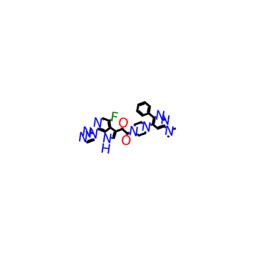 CN(C)c1cc(N2CCN(C(=O)C(=O)c3c[nH]c4c(-n5ccnn5)ncc(F)c34)CC2)c(-c2ccccc2)nn1